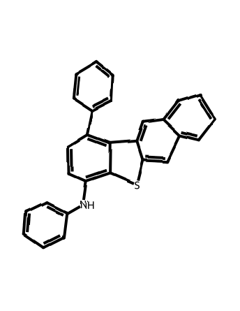 c1ccc(Nc2ccc(-c3ccccc3)c3c2sc2cc4ccccc4cc23)cc1